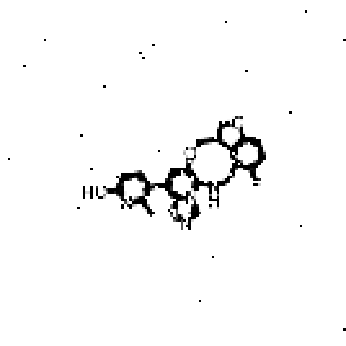 Cc1nc(O)ccc1-c1cc2c(n3cnnc13)NCc1c(F)ccc3c1C(CO3)CO2